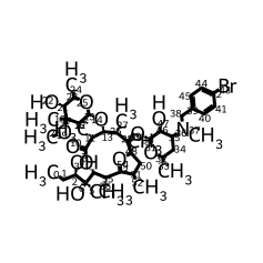 CC[C@@H](O)[C@@](C)(O)[C@@H]1OC(=O)[C@H](C)[C@@H](O[C@H]2CC(C)(OC)[C@@H](O)C(C)O2)[C@H](C)[C@@H](O[C@@H]2OC(C)CC(N(C)Cc3ccc(Br)cc3)C2O)[C@@]2(C)CC(C)C(O2)[C@@H]1C